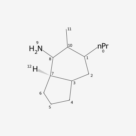 CCCC1CC2CCC[C@H]2C(N)C1C